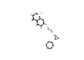 CCC[C@@]1(NCCNc2cc3c(c(N)c2F)c(=O)c(C(=O)O)cn3CC)C[C@@H]1c1ccccc1